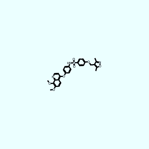 COc1ccc2c(Oc3ccc(NS(=O)(=O)c4ccc(OCc5c(C)noc5C)cc4)cc3)ccnc2c1OC